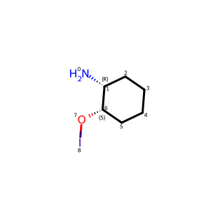 N[C@@H]1CCCC[C@@H]1OI